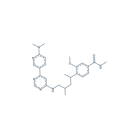 CNC(=O)c1ccc(C(C)CC(C)CNc2cc(-c3ccc(N(C)C)nc3)ncn2)c(OC)c1